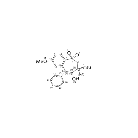 CCCC[C@]1(CC)CS(=O)(=O)c2ccc(OC)cc2[C@@H](c2ccccc2)[C@H]1O